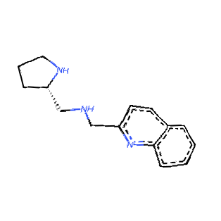 c1ccc2nc(CNC[C@@H]3CCCN3)ccc2c1